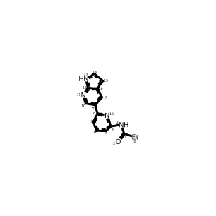 CCC(=O)Nc1cccc(-c2cnc3[nH]ccc3c2)n1